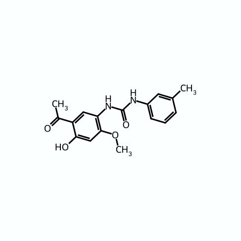 COc1cc(O)c(C(C)=O)cc1NC(=O)Nc1cccc(C)c1